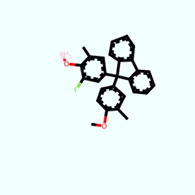 BOc1c(C)cc(C2(c3ccc(OC)c(C)c3)c3ccccc3-c3ccccc32)cc1F